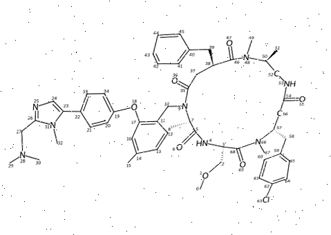 COC[C@@H]1NC(=O)[C@H](C)N(Cc2ccc(C)cc2Oc2ccc(-c3cnc(CN(C)C)n3C)cc2)C(=O)C[C@@H](Cc2ccccc2)C(=O)N(C)[C@@H](C)CNC(=O)C[C@H](Cc2ccc(Cl)cc2)N(C)C1=O